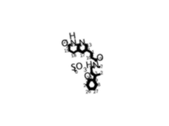 CS(=O)(=O)O.Cc1c(CN(C)C(=O)C=Cc2cnc3c(c2)CCC(=O)N3)oc2ccccc12